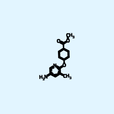 COC(=O)[C@H]1CC[C@@H](Oc2ncc(N)cc2C)CC1